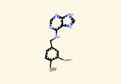 COc1ccc(CNc2ncnc3[nH]cnc23)cc1OC